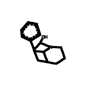 OC1CCC2CCCN1C2Cc1ccccc1